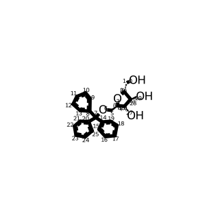 OC[C@H]1O[C@H](COC(c2ccccc2)(c2ccccc2)c2ccccc2)[C@@H](O)[C@@H]1O